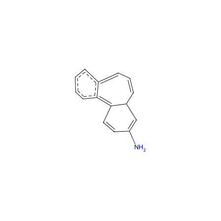 NC1=CC2C=CC=c3ccccc3=C2C=C1